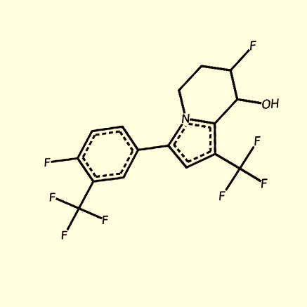 OC1c2c(C(F)(F)F)cc(-c3ccc(F)c(C(F)(F)F)c3)n2CCC1F